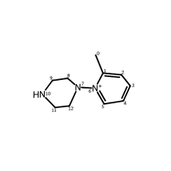 Cc1cccc[n+]1N1CCNCC1